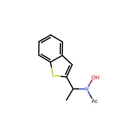 CC(=O)N(O)C(C)c1cc2ccccc2s1